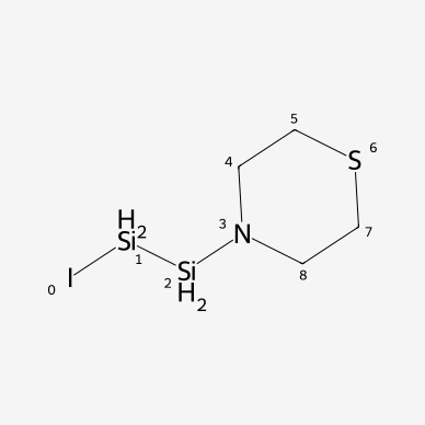 I[SiH2][SiH2]N1CCSCC1